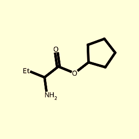 CCC(N)C(=O)OC1CCCC1